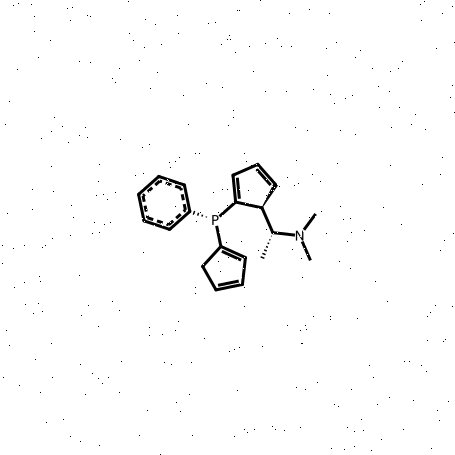 C[C@H]([C@@H]1C=CC=C1[P@](C1=CC=CC1)c1ccccc1)N(C)C